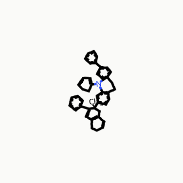 C[C@@]1(c2ccc3c(c2)N(C2=CC=CCC2)c2cc(-c4ccccc4)ccc2CC3)CC2=C(C=C1c1ccccc1)CCC=C2